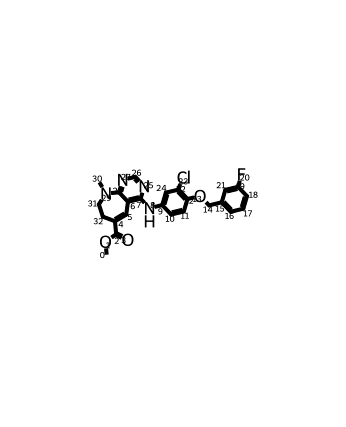 COC(=O)C1=Cc2c(Nc3ccc(OCc4cccc(F)c4)c(Cl)c3)ncnc2N(C)CC1